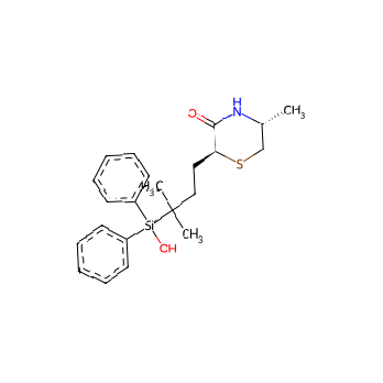 C[C@@H]1CS[C@@H](CCC(C)(C)[Si](O)(c2ccccc2)c2ccccc2)C(=O)N1